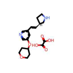 C(=C[C@H]1CCNC1)c1cncc(OC2CCOCC2)c1.O=C(O)C(=O)O